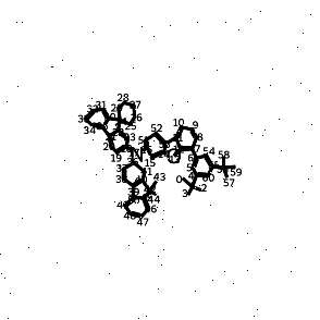 CC(C)(C)c1cc(-c2cccc3c2oc2cc(N(c4ccc5c(c4)C4(CCCCC4)c4ccccc4-5)C4C=CC5=C(C4)C(C)(C)c4ccccc45)ccc23)cc(C(C)(C)C)c1